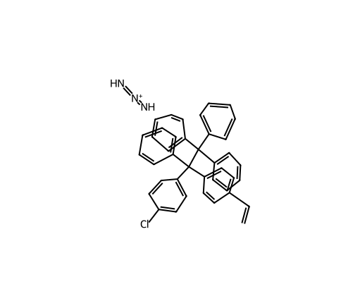 C=Cc1ccc(C(c2ccccc2)(c2ccc(Cl)cc2)C(c2ccccc2)(c2ccccc2)c2ccccc2)cc1.N=[N+]=N